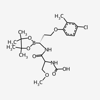 COCC(NC(=O)O)C(=O)N[C@@H](CCOc1ccc(Cl)cc1C)B1OC(C)(C)C(C)(C)O1